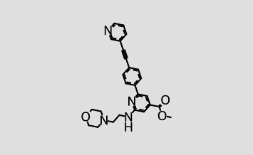 COC(=O)c1cc(NCCN2CCOCC2)nc(-c2ccc(C#Cc3cccnc3)cc2)c1